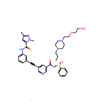 Cc1cc(C(=O)Nc2cccc(C#Cc3cncc(C(=O)N=[S@](=O)(CCCN4CCN(CCOCCO)CC4)c4ccccc4)c3)c2)n(C)n1